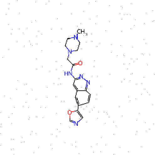 CN1CCN(CC(=O)Nc2cc3cc(-c4cnco4)ccc3nn2)CC1